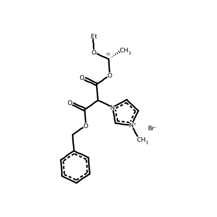 CCO[C@H](C)OC(=O)C(C(=O)OCc1ccccc1)n1cc[n+](C)c1.[Br-]